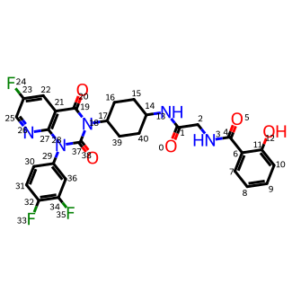 O=C(CNC(=O)c1ccccc1O)NC1CCC(n2c(=O)c3cc(F)cnc3n(-c3ccc(F)c(F)c3)c2=O)CC1